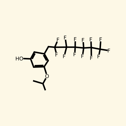 CC(C)Oc1cc(O)cc(CC(F)(F)C(F)(F)C(F)(F)C(F)(F)C(F)(F)C(F)(F)F)c1